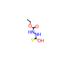 CCOC(=O)NNC(O)=S